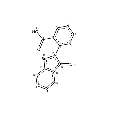 O=C(O)c1cncnc1-n1[se]c2ccccc2c1=O